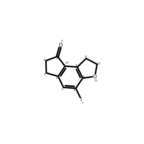 O=C1CCc2cc(I)c3c(c21)CCO3